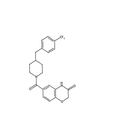 O=C1COc2ccc(C(=O)N3CCC(Cc4ccc(C(F)(F)F)cc4)CC3)cc2N1